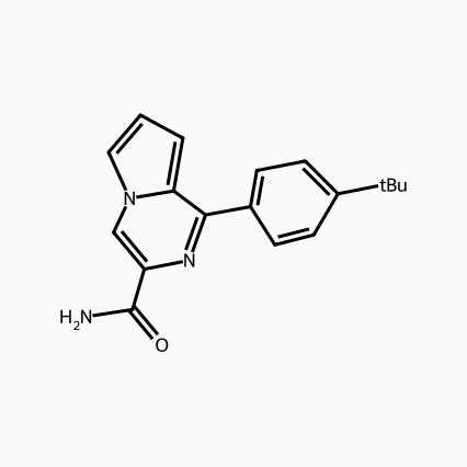 CC(C)(C)c1ccc(-c2nc(C(N)=O)cn3cccc23)cc1